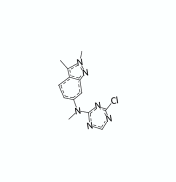 Cc1c2ccc(N(C)c3ncnc(Cl)n3)cc2nn1C